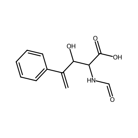 C=C(c1ccccc1)C(O)C(NC=O)C(=O)O